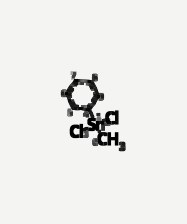 [CH3][Sn]([Cl])([Cl])[c]1ccccc1